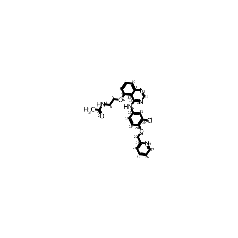 CC(=O)NCCOc1cccc2ncnc(Nc3ccc(OCc4ccccn4)c(Cl)c3)c12